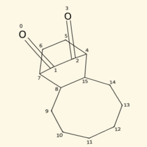 O=C1C(=O)C2CCC1C1CCCCCCC21